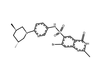 Cc1nc2cc(Br)c(S(=O)(=O)Nc3ccc(N4C[C@H](C)C[C@@H](C)C4)nc3)cc2c(=O)[nH]1